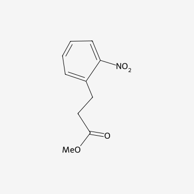 COC(=O)CCc1ccccc1[N+](=O)[O-]